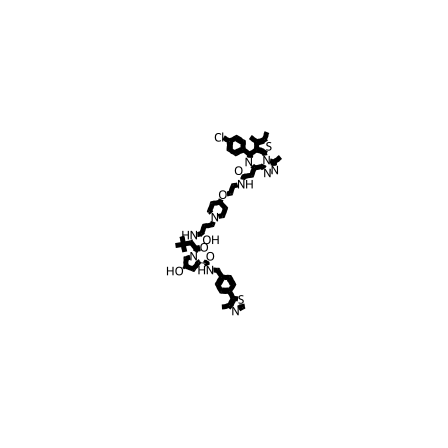 Cc1ncsc1-c1ccc(CNC(=O)[C@@H]2C[C@@H](O)CN2C(=O)[C@@H](NC(O)CCN2CCC(OCCNC(=O)CC3N=C(c4ccc(Cl)cc4)c4c(sc(C)c4C)-n4c(C)nnc43)CC2)C(C)(C)C)cc1